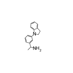 CC(N)c1cccc(N2CCc3ccccc32)c1